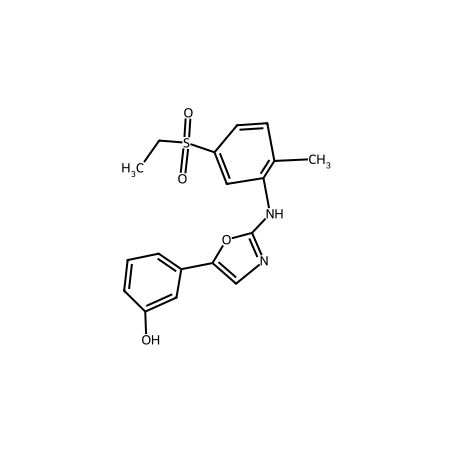 CCS(=O)(=O)c1ccc(C)c(Nc2ncc(-c3cccc(O)c3)o2)c1